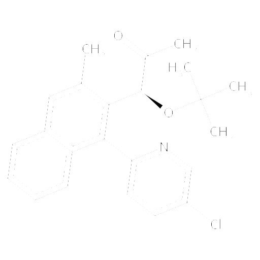 CC(=O)[C@@H](OC(C)(C)C)c1c(C)cc2ccccc2c1-c1ccc(Cl)cn1